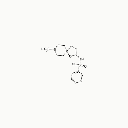 O=C(O)N1CCC2(CCC(NS(=O)(=O)c3ccccc3)O2)CC1